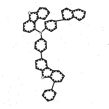 c1ccc(-c2cccc3c2oc2ccc(-c4ccc(N(c5ccc(-c6ccc7ccccc7c6)cc5)c5cccc6oc7ccccc7c56)cc4)cc23)cc1